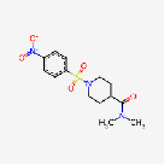 CN(C)C(=O)C1CCN(S(=O)(=O)c2ccc([N+](=O)[O-])cc2)CC1